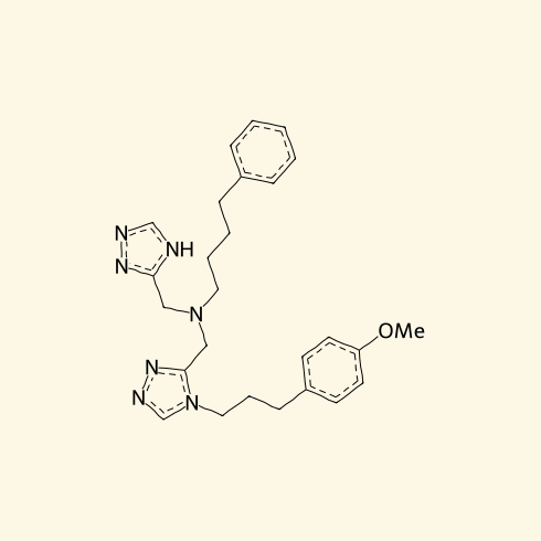 COc1ccc(CCCn2cnnc2CN(CCCCc2ccccc2)Cc2nnc[nH]2)cc1